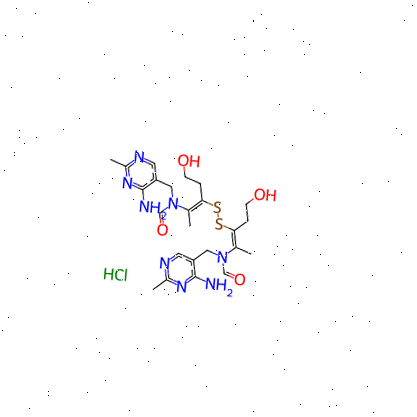 CC(=C(CCO)SSC(CCO)=C(C)N(C=O)Cc1cnc(C)nc1N)N(C=O)Cc1cnc(C)nc1N.Cl